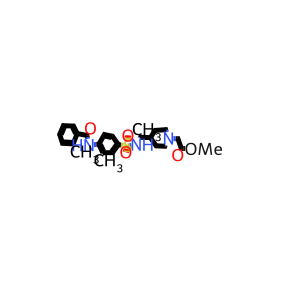 COC(=O)CN1CCC([C@@H](C)NS(=O)(=O)c2ccc(NC(=O)c3ccccc3C)c(C)c2)CC1